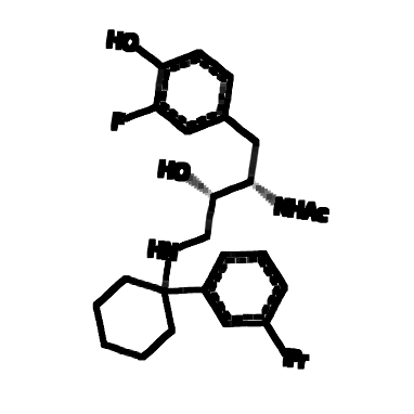 CC(=O)N[C@@H](Cc1ccc(O)c(F)c1)[C@@H](O)CNC1(c2cccc(C(C)C)c2)CCCCC1